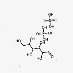 O=CC(O)C(O)C(O)C(O)CO.O=P(O)(O)O.O=S(=O)(O)O